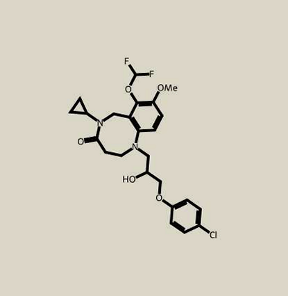 COc1ccc2c(c1OC(F)F)CN(C1CC1)C(=O)CCN2CC(O)COc1ccc(Cl)cc1